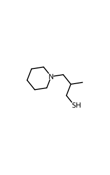 CC(CS)CN1CCCCC1